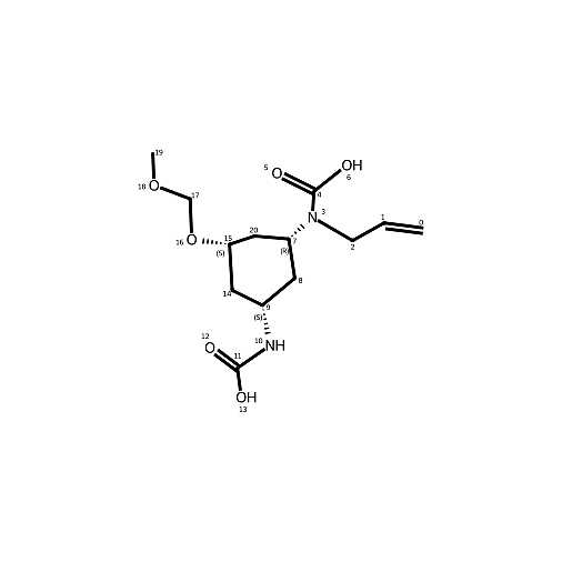 C=CCN(C(=O)O)[C@@H]1C[C@H](NC(=O)O)C[C@H](OCOC)C1